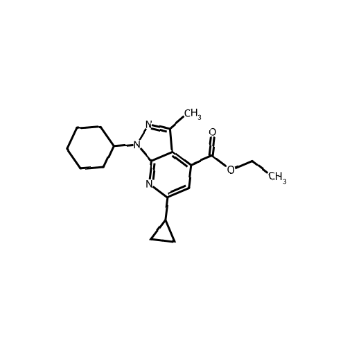 CCOC(=O)c1cc(C2CC2)nc2c1c(C)nn2C1CCCCC1